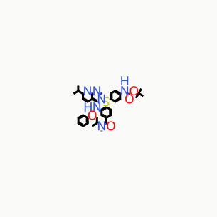 CC(C)c1ccc2c(Nc3cc(C(=O)N(C)C(C)COc4ccccc4)ccc3Sc3ccc(NC(=O)OC(C)(C)C)cc3)ncnc2n1